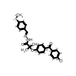 CSc1ccc(/C=N/NC(=O)C(C)(C)Oc2ccc(C(=O)c3ccc(Cl)cc3)cc2)cc1